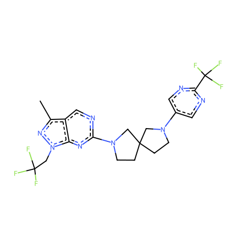 Cc1nn(CC(F)(F)F)c2nc(N3CCC4(CCN(c5cnc(C(F)(F)F)nc5)C4)C3)ncc12